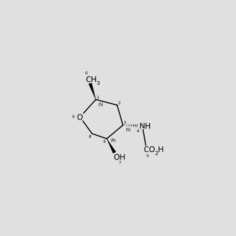 C[C@H]1C[C@H](NC(=O)O)[C@@H](O)CO1